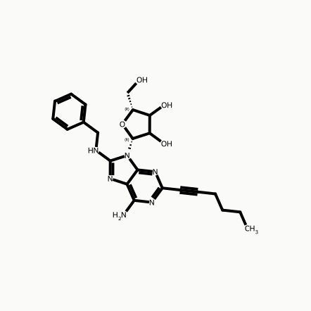 CCCCC#Cc1nc(N)c2nc(NCc3ccccc3)n([C@@H]3O[C@H](CO)C(O)C3O)c2n1